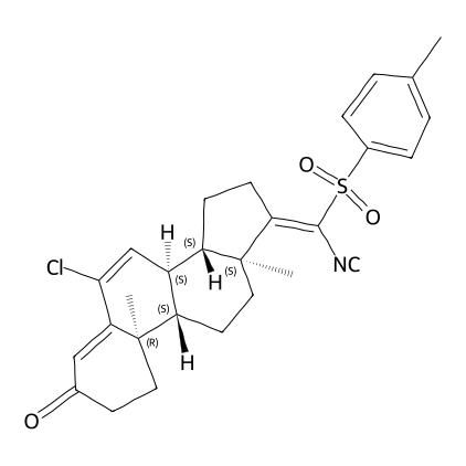 [C-]#[N+]C(=C1CC[C@H]2[C@@H]3C=C(Cl)C4=CC(=O)CC[C@]4(C)[C@H]3CC[C@]12C)S(=O)(=O)c1ccc(C)cc1